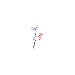 CCCCCOC(CC[N+](=O)[O-])C(=O)O